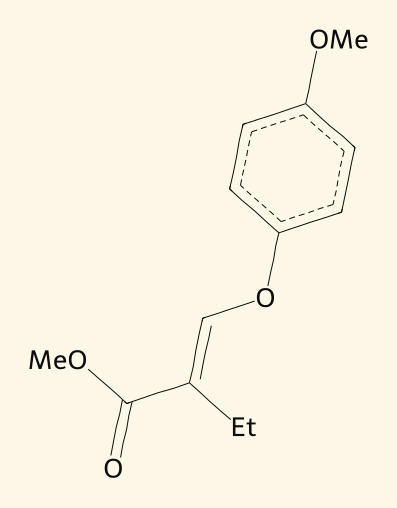 CC/C(=C\Oc1ccc(OC)cc1)C(=O)OC